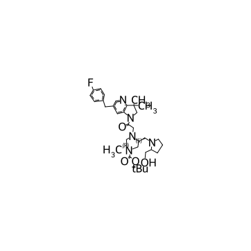 C[C@@H]1CN(CC(=O)N2CC(C)(C)c3ncc(Cc4ccc(F)cc4)cc32)[C@@H](CN2CCCC2CO)CN1C(=O)OC(C)(C)C